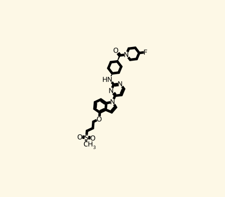 CS(=O)(=O)CCCOc1cccc2c1ccn2-c1ccnc(N[C@H]2CC[C@H](C(=O)N3CCC(F)CC3)CC2)n1